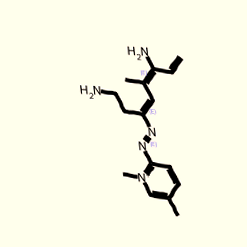 C=C\C(N)=C(C)/C=C(CCN)/N=N/c1ccc(C)c[n+]1C